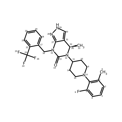 Cc1cccc(F)c1N1CCC(N2C(=O)N(Cc3ccccc3C(F)(F)F)c3n[nH]cc3[C@H]2C)CC1